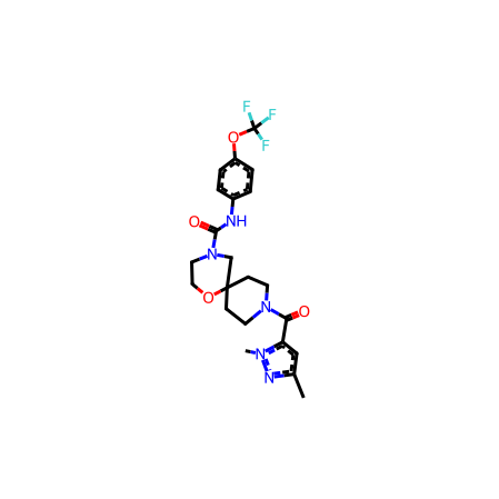 Cc1cc(C(=O)N2CCC3(CC2)CN(C(=O)Nc2ccc(OC(F)(F)F)cc2)CCO3)n(C)n1